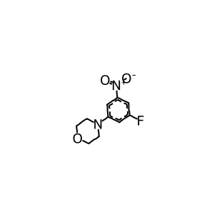 O=[N+]([O-])c1cc(F)cc(N2CCOCC2)c1